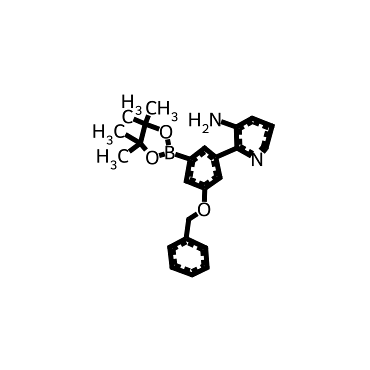 CC1(C)OB(c2cc(OCc3ccccc3)cc(-c3ncccc3N)c2)OC1(C)C